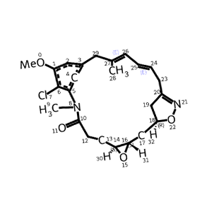 COc1cc2cc(c1Cl)N(C)C(=O)CC[C@@H]1O[C@H]1C[C@H]1CC(=NO1)C/C=C/C=C(\C)C2